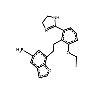 Bc1cc(CCc2c(OCC)cccc2C2=NCCN2)c2occc2c1